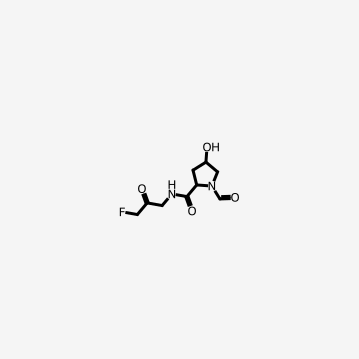 O=CN1CC(O)CC1C(=O)NCC(=O)CF